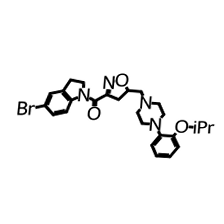 CC(C)Oc1ccccc1N1CCN(CC2CC(C(=O)N3CCc4cc(Br)ccc43)=NO2)CC1